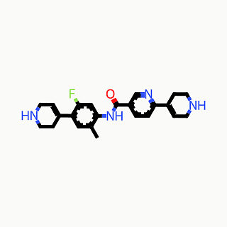 Cc1cc(C2=CCNCC2)c(F)cc1NC(=O)c1ccc(C2=CCNCC2)nc1